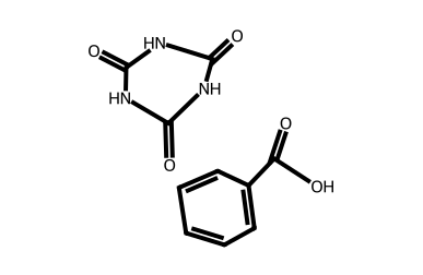 O=C(O)c1ccccc1.O=c1[nH]c(=O)[nH]c(=O)[nH]1